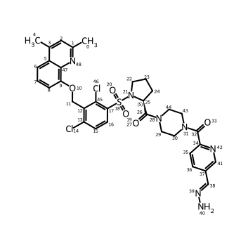 Cc1cc(C)c2cccc(OCc3c(Cl)ccc(S(=O)(=O)N4CCC[C@H]4C(=O)N4CCN(C(=O)c5ccc(C=NN)cn5)CC4)c3Cl)c2n1